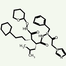 CC(C)C[C@@H](C(=O)NN(Cc1ccccc1)C(=O)Cn1ccnc1)[C@H](CCCC1CCCCC1)C(=O)NOC1CCCCO1